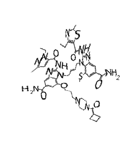 CCc1nc(C)sc1C(=O)Nc1nc2cc(C(N)=O)cc(SC)c2n1C/C=C/Cn1c(NC(=O)c2cc(C)nn2CC)nc2cc(C(N)=O)cc(OCCCN3CCN(C(=O)C4CCC4)CC3)c21